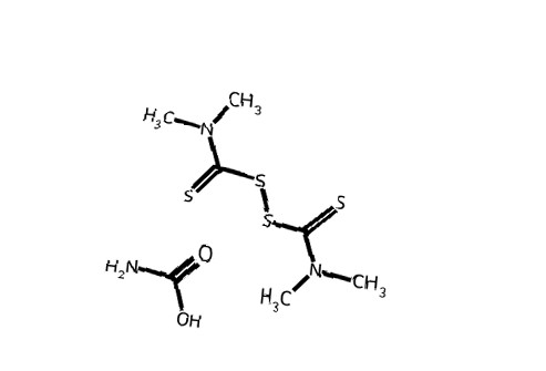 CN(C)C(=S)SSC(=S)N(C)C.NC(=O)O